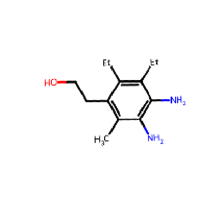 CCc1c(N)c(N)c(C)c(CCO)c1CC